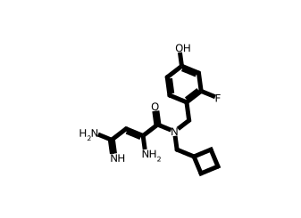 N=C(N)/C=C(\N)C(=O)N(Cc1ccc(O)cc1F)CC1CCC1